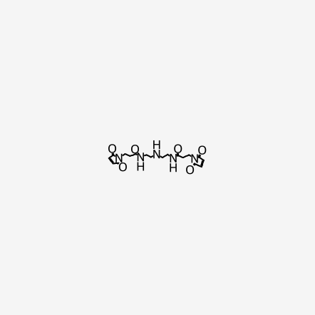 O=C(CCN1C(=O)C=CC1=O)NCCNCCNC(=O)CCN1C(=O)C=CC1=O